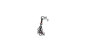 CC1C2C1C21C2C1C21CCC(c2ccc(C(=O)Oc3cc(F)c(C#N)c(F)c3)cc2)CC1